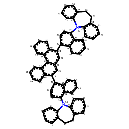 c1ccc2c(c1)CCc1ccccc1N2c1ccc(-c2cc3cc(-c4ccc(N5c6ccccc6CCc6ccccc65)c5ccccc45)c4ccccc4c3c3ccccc23)c2ccccc12